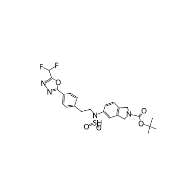 CC(C)(C)OC(=O)N1Cc2ccc(N(CCc3ccc(-c4nnc(C(F)F)o4)cc3)[SH](=O)=O)cc2C1